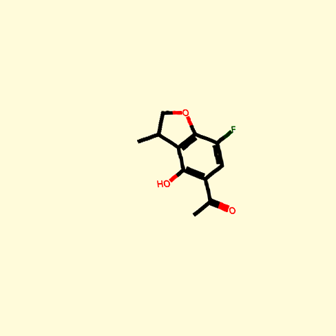 CC(=O)c1cc(F)c2c(c1O)C(C)CO2